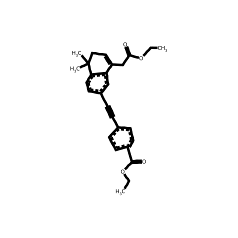 CCOC(=O)CC1=CCC(C)(C)c2ccc(C#Cc3ccc(C(=O)OCC)cc3)cc21